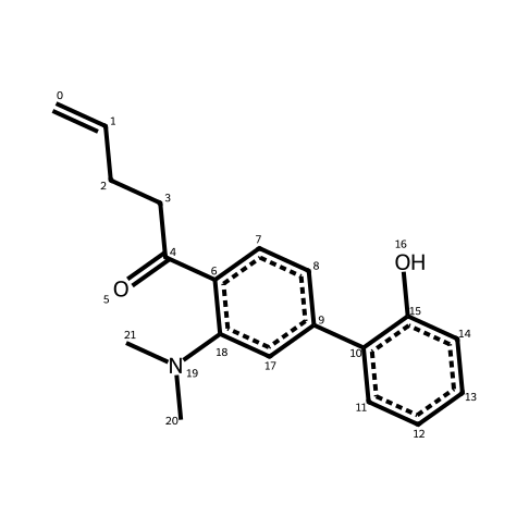 C=CCCC(=O)c1ccc(-c2ccccc2O)cc1N(C)C